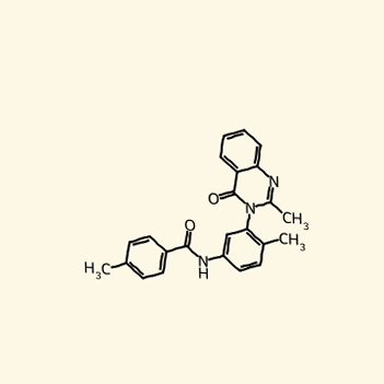 Cc1ccc(C(=O)Nc2ccc(C)c(-n3c(C)nc4ccccc4c3=O)c2)cc1